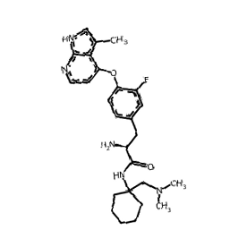 Cc1c[nH]c2nccc(Oc3ccc(C[C@H](N)C(=O)NC4(CN(C)C)CCCCC4)cc3F)c12